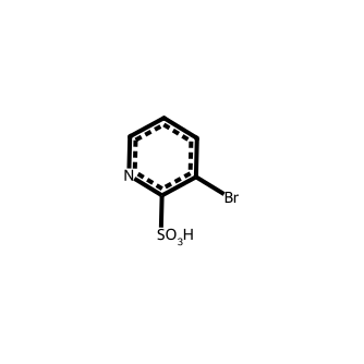 O=S(=O)(O)c1ncccc1Br